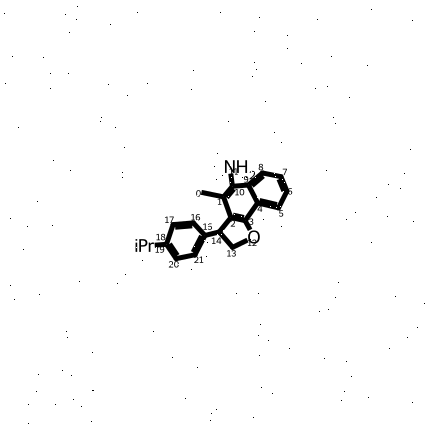 Cc1c2c(c3ccccc3c1N)OCC2c1ccc(C(C)C)cc1